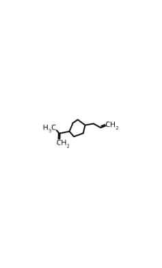 C=CCC1CCC(C(=C)C)CC1